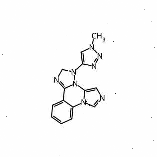 Cn1cc(N2CN=C3c4ccccc4-n4cncc4N32)nn1